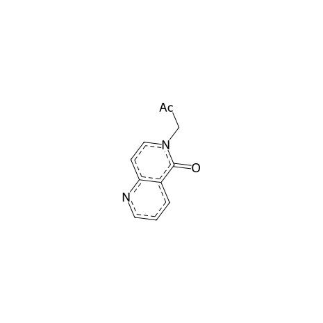 CC(=O)Cn1ccc2ncccc2c1=O